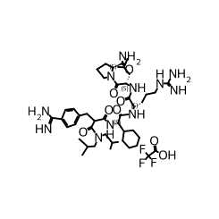 CC(C)C[C@H](NC(=O)[C@H](CCCNC(=N)N)NC(=O)[C@@H](NC(=O)C(Cc1ccc(C(=N)N)cc1)C(=O)N(CC(C)C)CC(C)C)C1CCCCC1)C(=O)N1CCC[C@H]1C(N)=O.O=C(O)C(F)(F)F